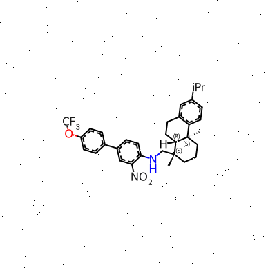 CC(C)c1ccc2c(c1)CC[C@H]1[C@@](C)(CNc3ccc(-c4ccc(OC(F)(F)F)cc4)cc3[N+](=O)[O-])CCC[C@]21C